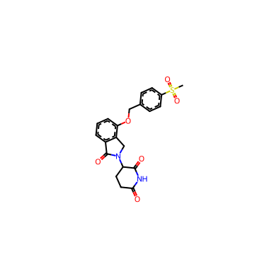 CS(=O)(=O)c1ccc(COc2cccc3c2CN(C2CCC(=O)NC2=O)C3=O)cc1